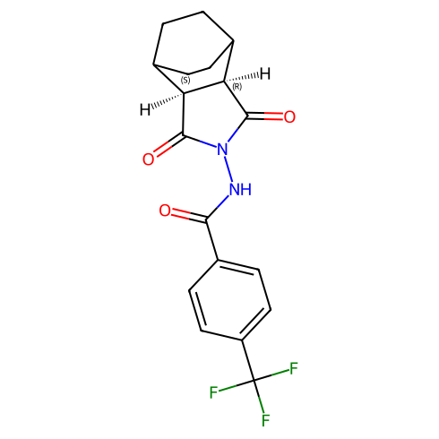 O=C(NN1C(=O)[C@@H]2C3CCC(CC3)[C@@H]2C1=O)c1ccc(C(F)(F)F)cc1